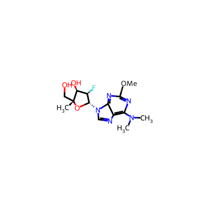 COc1nc(N(C)C)c2ncn([C@@H]3O[C@](C)(CO)[C@@H](O)[C@H]3F)c2n1